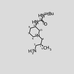 C[C@@H](CN)CN1CCC[C@@H](NC(=O)NC(C)(C)C)C1